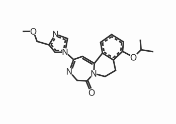 COCc1cn(C2=NCC(=O)N3CCc4c(OC(C)C)cccc4C3=C2)cn1